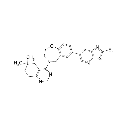 CCc1nc2cc(-c3ccc4c(c3)CN(c3ncnc5c3CC(C)(C)CC5)CCO4)cnc2s1